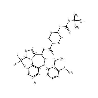 COc1cccc([C@H]2O[C@H](CC(=O)N3CCC(CC(=O)OC(C)(C)C)CC3)c3nnc(C(F)(F)Cl)n3-c3ccc(Cl)cc32)c1OC